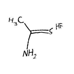 CC(N)=S.F